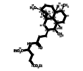 CCOC(=O)CCC(NC(=O)CC[C@H]1O[C@@H]2O[C@]3(C)CC[C@H]4[C@H](C)CC[C@@H]([C@H]1C)[C@@]24OO3)C(=O)OCC